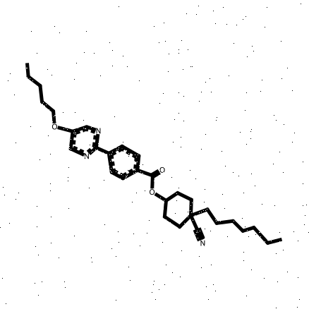 CCCCCCCC1(C#N)CCC(OC(=O)c2ccc(-c3ncc(OCCCCC)cn3)cc2)CC1